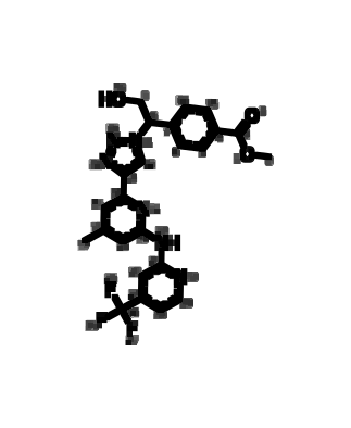 COC(=O)c1ccc(C(CO)n2cc(-c3cc(C)cc(Nc4cc(C(F)(F)F)ccn4)n3)nn2)cc1